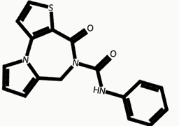 O=C(Nc1ccccc1)N1Cc2cccn2-c2ccsc2C1=O